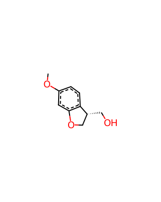 COc1ccc2c(c1)OC[C@H]2CO